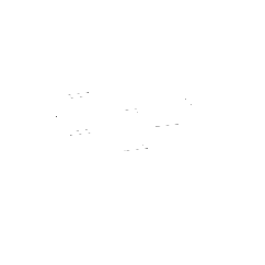 COc1ccccc1CN.Cc1ccccc1